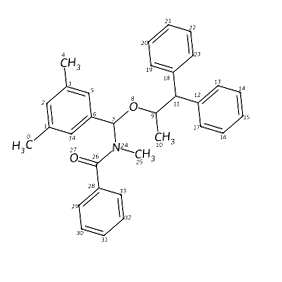 Cc1cc(C)cc(C(OC(C)C(c2ccccc2)c2ccccc2)N(C)C(=O)c2ccccc2)c1